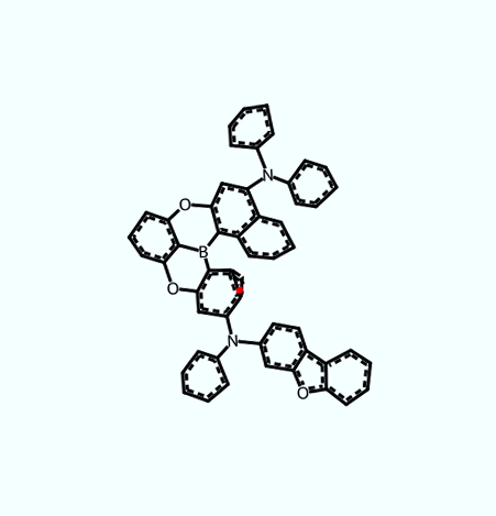 c1ccc(N(c2ccccc2)c2cc3c(c4ccccc24)B2c4c(cccc4Oc4cc(N(c5ccccc5)c5ccc6c(c5)oc5ccccc56)c5ccccc5c42)O3)cc1